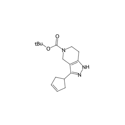 CC(C)(C)OC(=O)N1CCc2[nH]nc(C3CC=CC3)c2C1